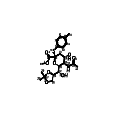 COC(=O)[C@]1(Sc2ccc(C)cc2)C[C@H](O)[C@@H](NC(C)=O)[C@H]([C@H](O)[C@H]2COC(C)(C)O2)O1